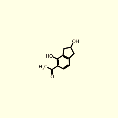 CC(=O)c1ccc2c(c1O)CC(O)C2